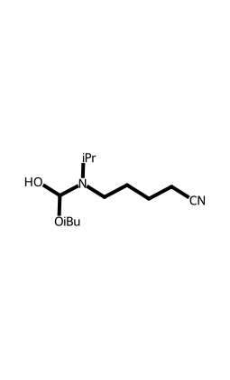 CC(C)COC(O)N(CCCCC#N)C(C)C